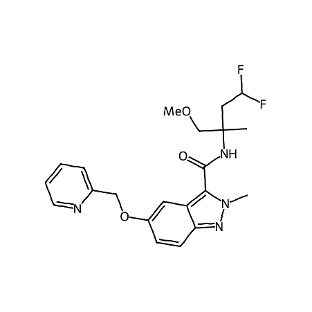 COCC(C)(CC(F)F)NC(=O)c1c2cc(OCc3ccccn3)ccc2nn1C